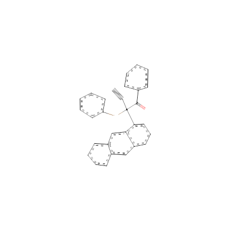 C#CC(Sc1ccccc1)(C(=O)c1ccccc1)c1cccc2cc3ccccc3cc12